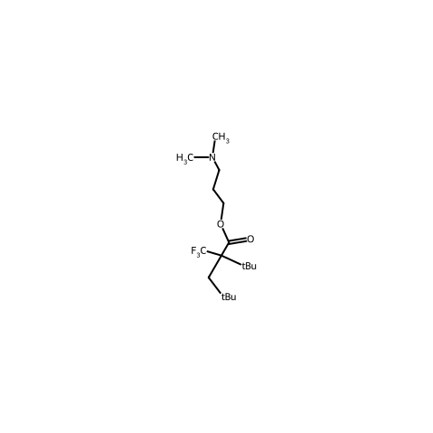 CN(C)CCCOC(=O)C(CC(C)(C)C)(C(C)(C)C)C(F)(F)F